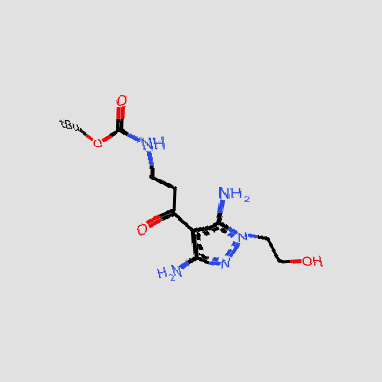 CC(C)(C)OC(=O)NCCC(=O)c1c(N)nn(CCO)c1N